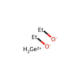 CC[O-].CC[O-].[GeH2+2]